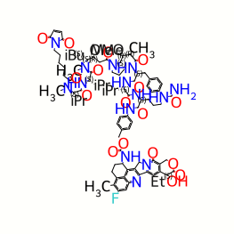 CC[C@H](C)[C@@H]([C@@H](CC(=O)N1CCC[C@H]1[C@H](OC)[C@@H](C)C(=O)N[C@@H](Cc1ccccc1)C(=O)N[C@H](C(=O)N[C@@H](CCCNC(N)=O)C(=O)Nc1ccc(COC(=O)NC2CCc3c(C)c(F)cc4nc5c(c2c34)Cn2c-5cc3c(c2=O)COC(=O)[C@]3(O)CC)cc1)C(C)C)OC)N(C)C(=O)[C@@H](NC(=O)[C@H](C(C)C)N(C)C(=O)CCCCCN1C(=O)C=CC1=O)C(C)C